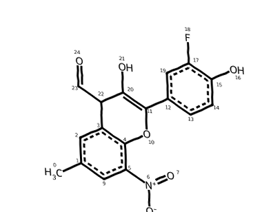 Cc1cc2c(c([N+](=O)[O-])c1)OC(c1ccc(O)c(F)c1)=C(O)C2C=O